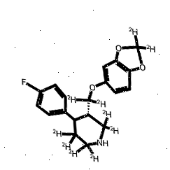 [2H]C1([2H])Oc2ccc(OC([2H])([2H])[C@H]3C(c4ccc(F)cc4)C([2H])([2H])C([2H])([2H])NC3([2H])[2H])cc2O1